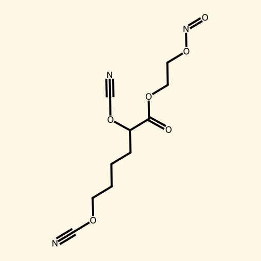 N#COCCCCC(OC#N)C(=O)OCCON=O